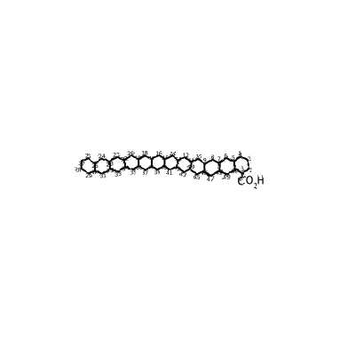 O=C(O)C1CCCC2CC3CC4CC5CC6CC7CC8CC9CC%10CC%11CC%12CCCCC%12CC%11CC%10CC9CC8CC7CC6CC5CC4CC3CC21